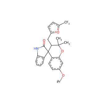 CC(C)Oc1ccc2c(c1)OC(C)(C)C(Cc1ccc(C(F)(F)F)o1)C21C(=O)Nc2ccccc21